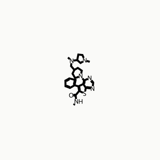 CNC(=O)c1sc2ncnc(N3CCC(CN(C)C4CCN(C)C4)CC3)c2c1-c1ccccc1